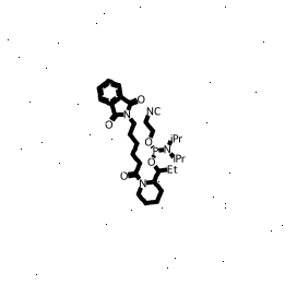 [C-]#[N+]CCOP(OC(CC)C1CCCCN1C(=O)CCCCCN1C(=O)c2ccccc2C1=O)N(C(C)C)C(C)C